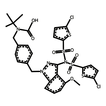 COc1cccc2c1c(N(S(=O)(=O)c1ccc(Cl)s1)S(=O)(=O)c1ccc(Cl)s1)nn2Cc1ccc(CN(C(=O)O)C(C)(C)C)cc1